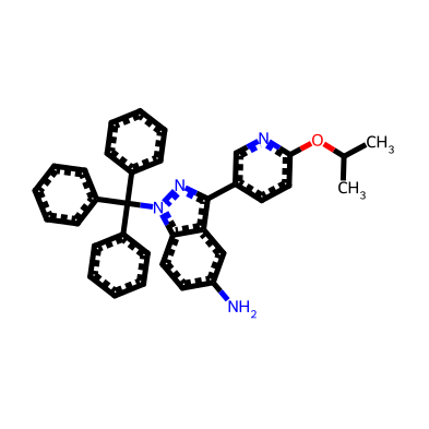 CC(C)Oc1ccc(-c2nn(C(c3ccccc3)(c3ccccc3)c3ccccc3)c3ccc(N)cc23)cn1